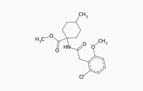 COC(=O)C1(NC(=O)Cc2c(Cl)cccc2OC)CCC(C)CC1